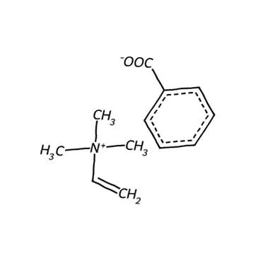 C=C[N+](C)(C)C.O=C([O-])c1ccccc1